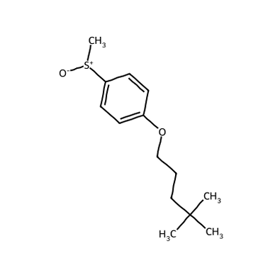 C[S+]([O-])c1ccc(OCCCC(C)(C)C)cc1